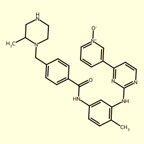 Cc1ccc(NC(=O)c2ccc(CN3CCNCC3C)cc2)cc1Nc1nccc(-c2ccc[n+]([O-])c2)n1